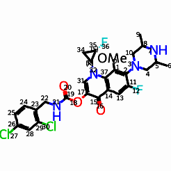 COc1c(N2CC(C)NC(C)C2)c(F)cc2c(=O)c(OC(=O)NCc3ccc(Cl)cc3Cl)cn([C@@H]3C[C@@H]3F)c12